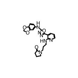 O=C1CCCN1CCCNc1ncccc1-c1nnc(Nc2ccc3c(c2)OCO3)o1